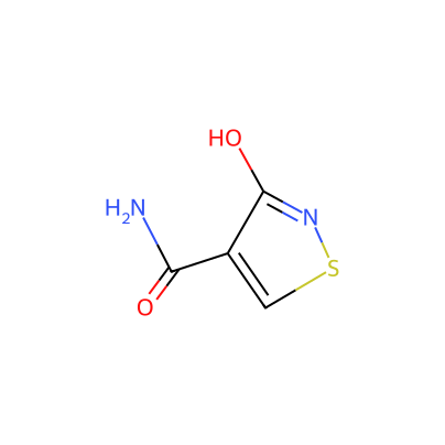 NC(=O)c1csnc1O